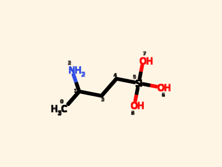 CC(N)CC[Si](O)(O)O